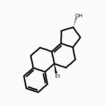 CC[C@]12CCC3C[C@@H](O)CC3=C1CCc1ccccc12